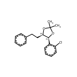 CC1(C)O[C@H](CCc2ccccc2)[C@H](c2ccccc2Cl)O1